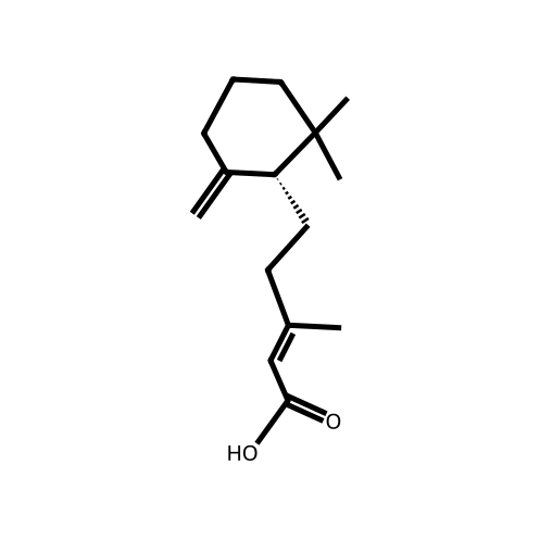 C=C1CCCC(C)(C)[C@@H]1CC/C(C)=C/C(=O)O